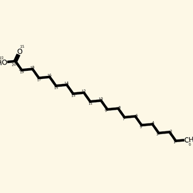 CCCCCCCCCCCCCCCCCCC[CH]C(=O)O